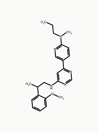 CCCN(C)c1ccc(-c2cc(NCC(C)c3ccccc3OC)ncn2)cn1